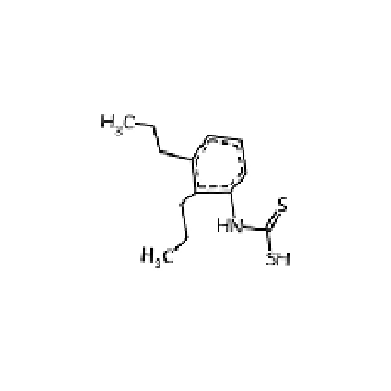 CCCc1cccc(NC(=S)S)c1CCC